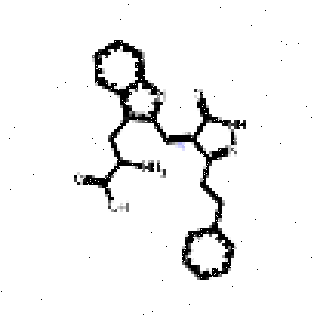 NC(Cc1c(/C=C2\C(=O)NN=C2CCc2ccccc2)[nH]c2ccccc12)C(=O)O